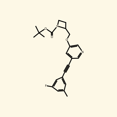 Cc1cc(F)cc(C#Cc2cncc(OCC3CCN3C(=O)OC(C)(C)C)c2)c1